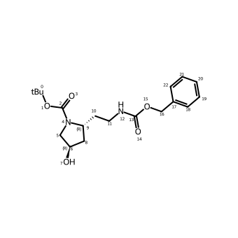 CC(C)(C)OC(=O)N1C[C@H](O)C[C@H]1CCNC(=O)OCc1ccccc1